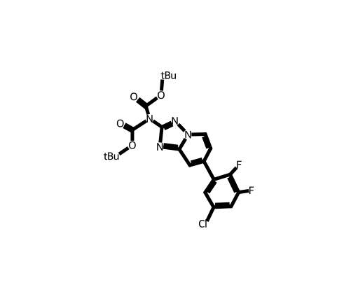 CC(C)(C)OC(=O)N(C(=O)OC(C)(C)C)c1nc2cc(-c3cc(Cl)cc(F)c3F)ccn2n1